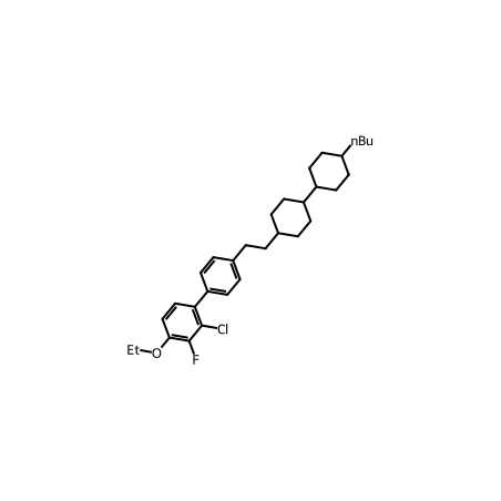 CCCCC1CCC(C2CCC(CCc3ccc(-c4ccc(OCC)c(F)c4Cl)cc3)CC2)CC1